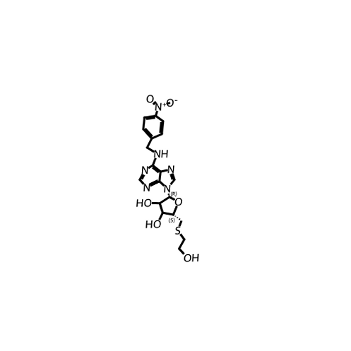 O=[N+]([O-])c1ccc(CNc2ncnc3c2ncn3[C@@H]2O[C@H](CSCCO)C(O)C2O)cc1